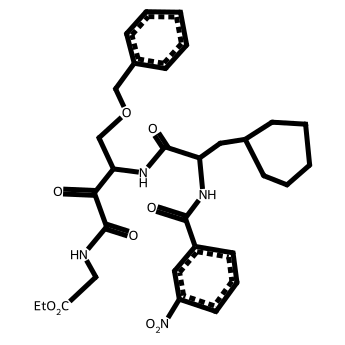 CCOC(=O)CNC(=O)C(=O)C(COCc1ccccc1)NC(=O)C(CC1CCCCC1)NC(=O)c1cccc([N+](=O)[O-])c1